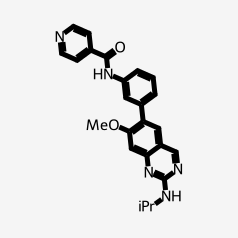 COc1cc2nc(NC(C)C)ncc2cc1-c1cccc(NC(=O)c2ccncc2)c1